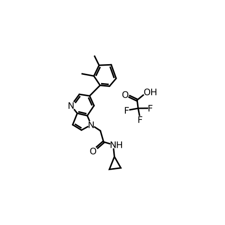 Cc1cccc(-c2cnc3ccn(CC(=O)NC4CC4)c3c2)c1C.O=C(O)C(F)(F)F